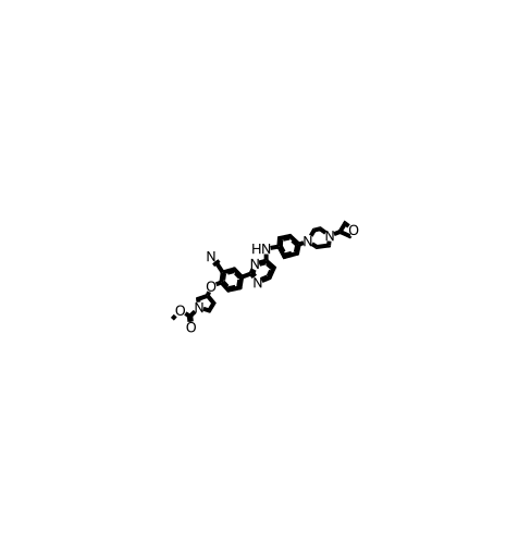 COC(=O)N1CCC(Oc2ccc(-c3nccc(Nc4ccc(N5CCN(C6COC6)CC5)cc4)n3)cc2C#N)C1